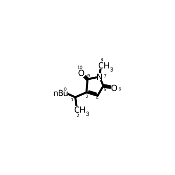 CCCCC(C)C1=CC(=O)N(C)C1=O